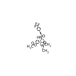 C=CCN1CC[C@@]2(c3cccc(OC(C)=O)c3)C[C@@H](NC(=O)C#Cc3ccc(C(F)(F)F)cc3)CC[C@]2(OC)C1